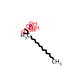 C1CCOC1.CCCCCCCCCCCCCCC.O=P(O)(O)O